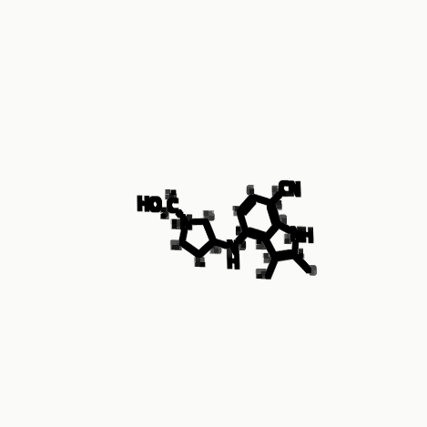 Cc1[nH]c2c(C#N)ccc(NC3CCN(C(=O)O)C3)c2c1C